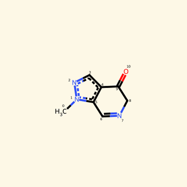 Cn1ncc2c1C=NCC2=O